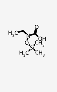 CCN(O[Si](C)(C)C)C(=O)O